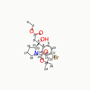 CCOC(=O)CC(O)(c1ccc(Br)cc1)[C@@H]1CCCN1C(=O)OC(C)(C)C